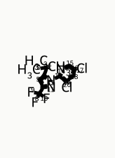 CC(C)(C)c1cc(C(F)(F)F)nn1-c1ncc(Cl)cc1Cl